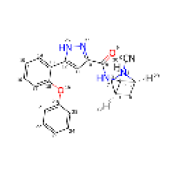 N#CN1C[C@@H]2C[C@H]1[C@@H]2NC(=O)c1cc(-c2ccccc2Oc2ccccc2)[nH]n1